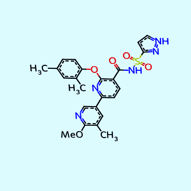 COc1ncc(-c2ccc(C(=O)NS(=O)(=O)c3cc[nH]n3)c(Oc3ccc(C)cc3C)n2)cc1C